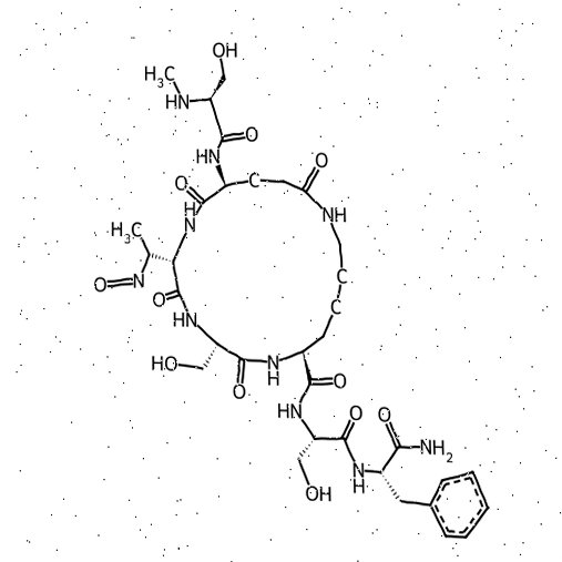 CN[C@@H](CO)C(=O)N[C@H]1CCC(=O)NCCCC[C@@H](C(=O)N[C@@H](CO)C(=O)N[C@@H](Cc2ccccc2)C(N)=O)NC(=O)[C@H](CO)NC(=O)[C@H](C(C)N=O)NC1=O